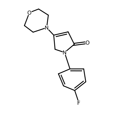 O=C1C=C(N2CCOCC2)CN1c1ccc(F)cc1